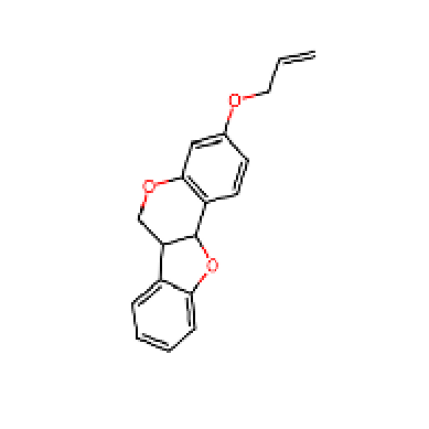 C=CCOc1ccc2c(c1)OCC1c3ccccc3OC21